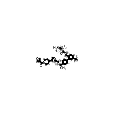 C[C@@H](NC(=O)c1nc(C2CCN(C(=O)C3COC3)CC2)cs1)c1ccc(-c2cc(C(F)(F)F)ccc2CNC(=O)OC(C)(C)C)cc1